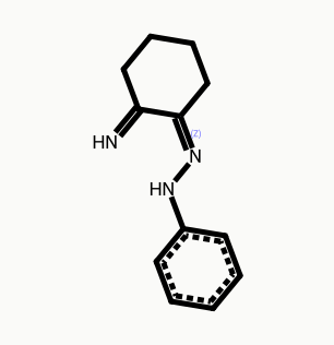 N=C1CCCC/C1=N/Nc1ccccc1